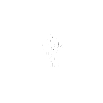 COC(=O)c1ccc(C(=O)OC)c(Nc2nc(Nc3ccc(NC(C)=O)cc3)ncc2N=O)c1